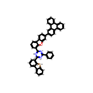 c1ccc(-c2nc(-c3cccc4c3oc3cc(-c5ccc6c7ccccc7c7ccccc7c6c5)ccc34)nc(-c3cccc4c3sc3ccccc34)n2)cc1